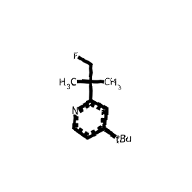 CC(C)(C)c1ccnc(C(C)(C)CF)c1